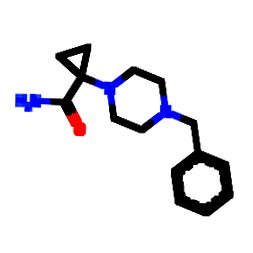 NC(=O)C1(N2CCN(Cc3ccccc3)CC2)CC1